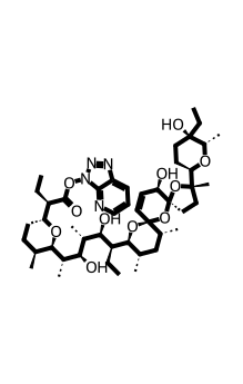 CC[C@@H]([C@H](O)[C@@H](C)[C@@H](O)[C@H](C)[C@@H]1O[C@@H]([C@@H](CC)C(=O)On2nnc3cccnc32)CC[C@@H]1C)[C@H]1O[C@]2(C=C[C@@H](O)[C@]3(CC[C@@](C)([C@H]4CC[C@](O)(CC)[C@H](C)O4)O3)O2)[C@H](C)C[C@@H]1C